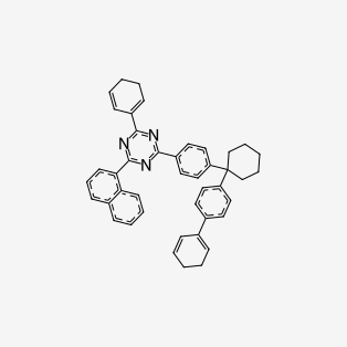 C1=CC(c2ccc(C3(c4ccc(-c5nc(C6=CCCC=C6)nc(-c6cccc7ccccc67)n5)cc4)CCCCC3)cc2)=CCC1